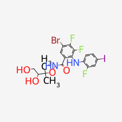 CC(C)(ONC(=O)c1cc(Br)c(F)c(F)c1Nc1ccc(I)cc1F)C(O)CO